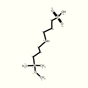 CO[Si](C)(C)CCCNCCCS(=O)(=O)O